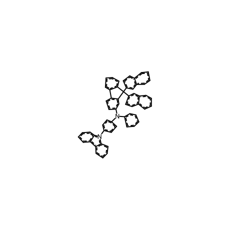 c1ccc(N(c2ccc(-n3c4ccccc4c4ccccc43)cc2)c2ccc3c(c2)C(c2ccc4ccccc4c2)(c2ccc4ccccc4c2)c2ccccc2-3)cc1